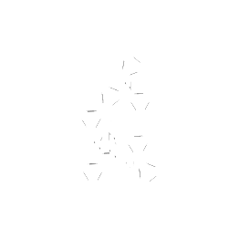 c1ccc(-c2nc(-c3cccc4c3oc3ccccc34)nc(-c3cccc4c3oc3c4ccc4c3c3ccccc3n4-c3ccccc3)n2)cc1